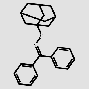 c1ccc(C(=NOC23CC4CC(CC(C4)C2)C3)c2ccccc2)cc1